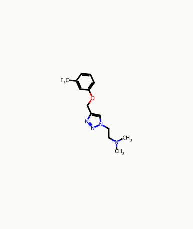 CN(C)CCn1cc(COc2cccc(C(F)(F)F)c2)nn1